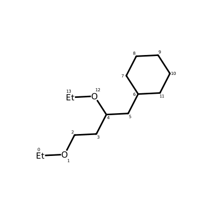 CCOCCC(CC1CCCCC1)OCC